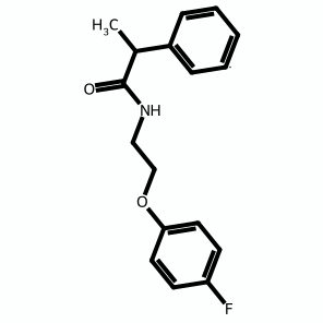 CC(C(=O)NCCOc1ccc(F)cc1)c1c[c]ccc1